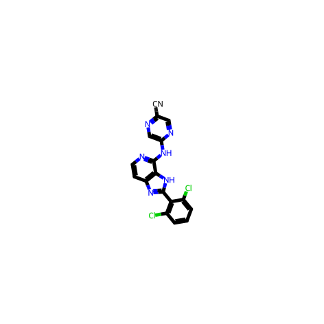 N#Cc1cnc(Nc2nccc3nc(-c4c(Cl)cccc4Cl)[nH]c23)cn1